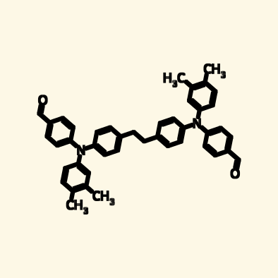 Cc1ccc(N(c2ccc(C=O)cc2)c2ccc(CCc3ccc(N(c4ccc(C=O)cc4)c4ccc(C)c(C)c4)cc3)cc2)cc1C